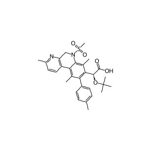 Cc1ccc(-c2c(C)c3c(c(C)c2[C@H](OC(C)(C)C)C(=O)O)N(S(C)(=O)=O)Cc2nc(C)ccc2-3)cc1